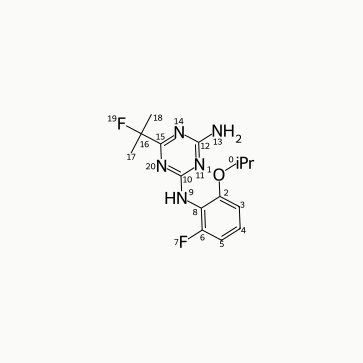 CC(C)Oc1cccc(F)c1Nc1nc(N)nc(C(C)(C)F)n1